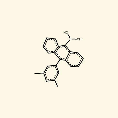 Cc1cc(C)cc(-c2c3ccccc3c(B(O)O)c3ccccc23)c1